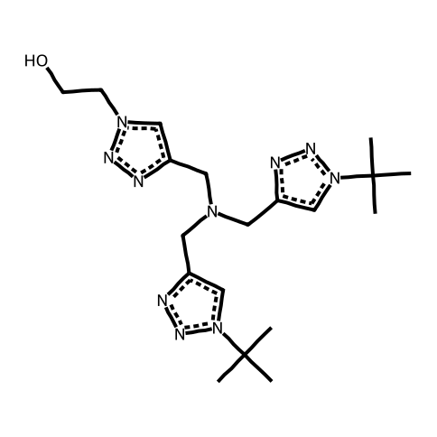 CC(C)(C)n1cc(CN(Cc2cn(CCO)nn2)Cc2cn(C(C)(C)C)nn2)nn1